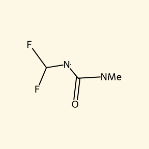 CNC(=O)[N]C(F)F